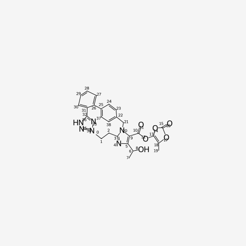 CCCc1nc(C(C)O)c(C(=O)Oc2oc(=O)oc2C)n1Cc1ccc(-c2ccccc2-c2nnn[nH]2)cc1